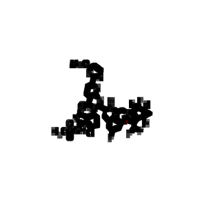 COc1ccnc(-c2ccc3c(=O)n(-c4ccc(Cl)c5c(NS(C)(=O)=O)nn(C)c45)c([C@H](Cc4cc(F)cc(F)c4)NC(=O)Cn4nc(C(F)F)c5c4C(F)(F)[C@@H]4C[C@H]54)nc3n2)n1